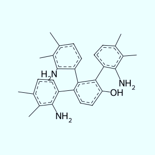 Cc1ccc(-c2ccc(O)c(-c3ccc(C)c(C)c3N)c2-c2ccc(C)c(C)c2N)c(N)c1C